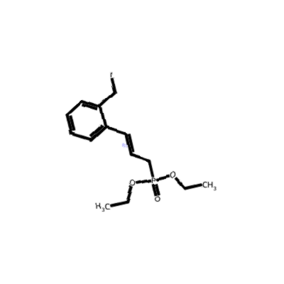 CCOP(=O)(C/C=C/c1ccccc1CI)OCC